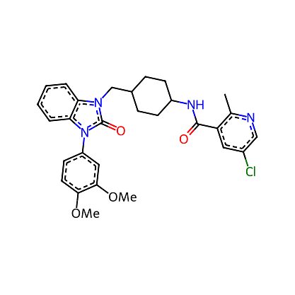 COc1ccc(-n2c(=O)n(CC3CCC(NC(=O)c4cc(Cl)cnc4C)CC3)c3ccccc32)cc1OC